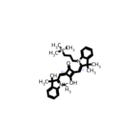 C[N+]1=C(/C=C2/C(=O)C(/C=C3\N(CCC[N+](C)(C)C)c4ccccc4C3(C)C)=C2O)C(C)(C)c2ccccc21